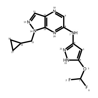 FC(F)Oc1cc(Nc2cnc3cnn(CC4CC4)c3n2)n[nH]1